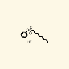 CCCCCCCCS(=O)(=O)Oc1ccccc1.F